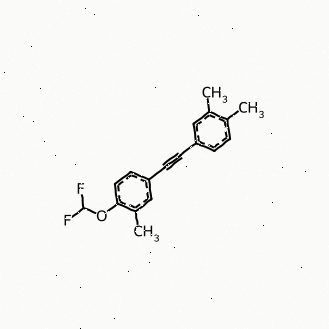 Cc1ccc(C#Cc2ccc(OC(F)F)c(C)c2)cc1C